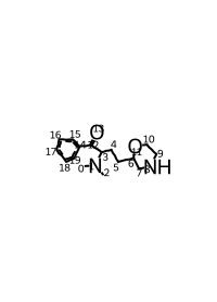 CN(C)C(CCC1CNCCO1)C(=O)c1ccccc1